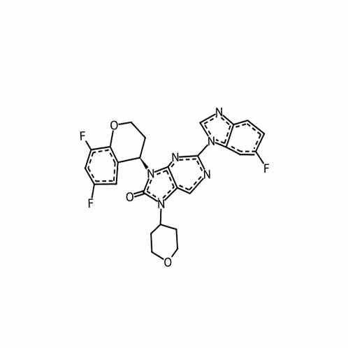 O=c1n(C2CCOCC2)c2cnc(-n3cnc4ccc(F)cc43)nc2n1[C@@H]1CCOc2c(F)cc(F)cc21